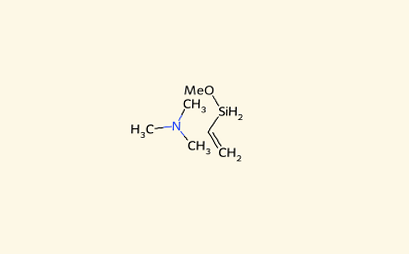 C=C[SiH2]OC.CN(C)C